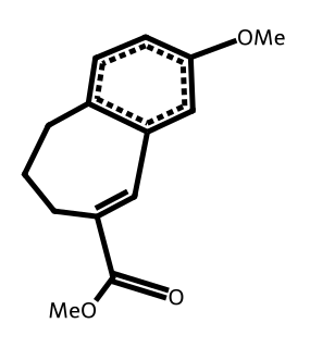 COC(=O)C1=Cc2cc(OC)ccc2CCC1